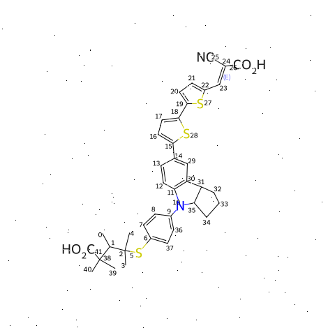 CC(C(C)(C)Sc1ccc(N2c3ccc(-c4ccc(-c5ccc(/C=C(\C#N)C(=O)O)s5)s4)cc3C3CCCC32)cc1)C(C)(C)C(=O)O